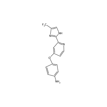 Nc1ccc(Oc2ccnc(-c3nc(C(F)(F)F)c[nH]3)c2)cc1